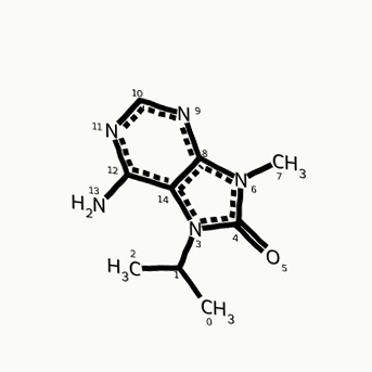 CC(C)n1c(=O)n(C)c2ncnc(N)c21